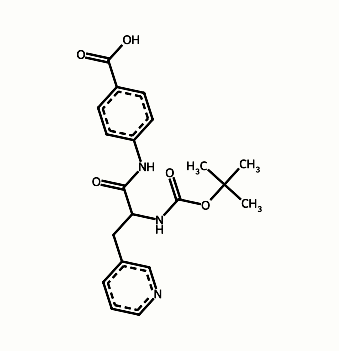 CC(C)(C)OC(=O)NC(Cc1cccnc1)C(=O)Nc1ccc(C(=O)O)cc1